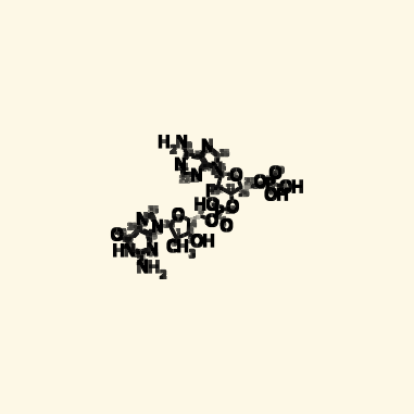 C[C@@H]1[C@H](O)[C@@H](COP(=O)(O)O[C@H]2[C@@H](F)[C@H](n3cnc4c(N)ncnc43)O[C@@H]2COP(=O)(O)O)O[C@H]1n1cnc2c(=O)[nH]c(N)nc21